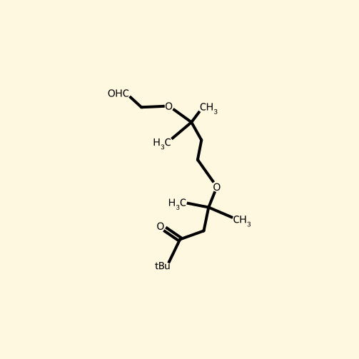 CC(C)(CCOC(C)(C)CC(=O)C(C)(C)C)OCC=O